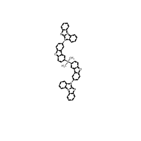 C[Si](C)(c1ccc2oc3ccc(-n4c5ccccc5n5c6ccccc6nc45)cc3c2c1)c1ccc2oc3ccc(-n4c5ccccc5n5c6ccccc6nc45)cc3c2c1